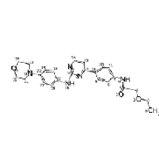 CCOCC(=O)Nc1ccc(-c2ccnc(Nc3ccc(N4CCOCC4)cc3)n2)cc1